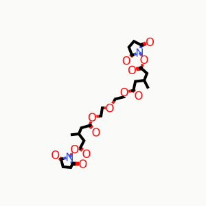 CC(CC(=O)OCCOCCOC(=O)CC(C)CC(=O)ON1C(=O)CCC1=O)CC(=O)ON1C(=O)CCC1=O